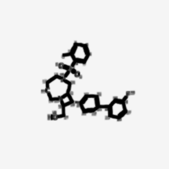 Cc1ccccc1S(=O)(=O)N1CCCCN2C(CO)[C@@H](c3ccc(-c4cccc(F)c4)cc3)C2C1